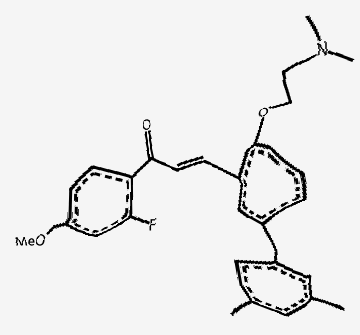 COc1ccc(C(=O)C=Cc2cc(-c3cc(C)cc(C)c3)ccc2OCCN(C)C)c(F)c1